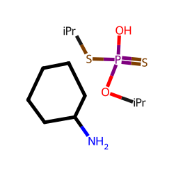 CC(C)OP(O)(=S)SC(C)C.NC1CCCCC1